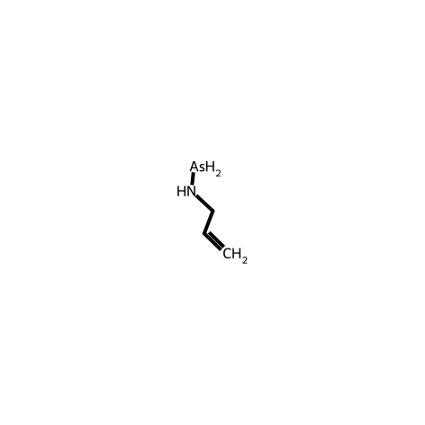 C=CCN[AsH2]